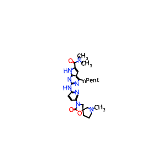 CCCCCc1nc(Nc2ccc(N3CC4(CCCN(C)C4)OC3=O)cn2)nc2[nH]c(C(=O)N(C)C)cc12